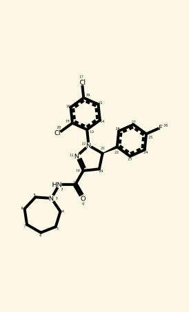 O=C(NN1CCCCCC1)C1=NN(c2ccc(Cl)cc2Cl)[C@@H](c2ccc(F)cc2)C1